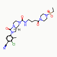 CCS(=O)(=O)N1CCN(C(=O)CCCNC(=O)N2CCN3C(=O)N(c4ccc(C#N)c(Cl)c4C)C[C@@H]3C2)CC1